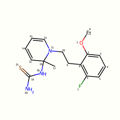 CCOc1cccc(F)c1CCN1C=CC=CC1(C)NC(N)=S